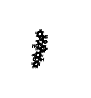 Cn1cc(-c2ccnc(N3CCn4c5c(c(F)c4C3=O)CCCC5)c2CO)cc(Nc2ccccn2)c1=O